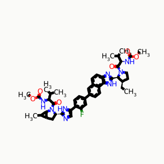 CC[C@@H]1CCN(C(=O)[C@@H](NC(=O)OC)C(C)C)[C@@H]1c1nc2ccc3cc(-c4ccc(-c5cnc([C@@H]6CC7C(C)C7N6C(=O)C(NC(=O)OC)C(C)C)[nH]5)c(F)c4)ccc3c2[nH]1